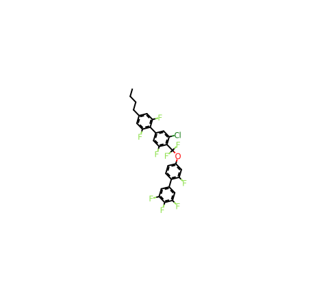 CCCCc1cc(F)c(-c2cc(F)c(C(F)(F)Oc3ccc(-c4cc(F)c(F)c(F)c4)c(F)c3)c(Cl)c2)c(F)c1